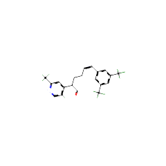 O=CC(CC/C=C\c1cc(C(F)(F)F)cc(C(F)(F)F)c1)c1cc(C(F)(F)F)ncc1Cl